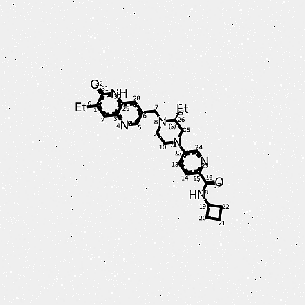 CCc1cc2ncc(CN3CCN(c4ccc(C(=O)NC5CCC5)nc4)C[C@@H]3CC)cc2[nH]c1=O